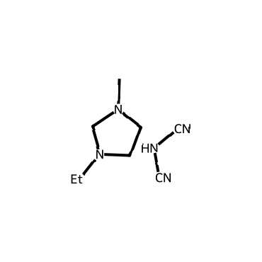 CCN1CCN(C)C1.N#CNC#N